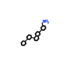 NCc1cccc(-c2ccc3c(-c4cccc(-c5ccccc5)c4)cccc3c2)c1